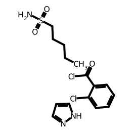 CCCCCS(N)(=O)=O.O=C(Cl)c1ccccc1Cl.c1cn[nH]c1